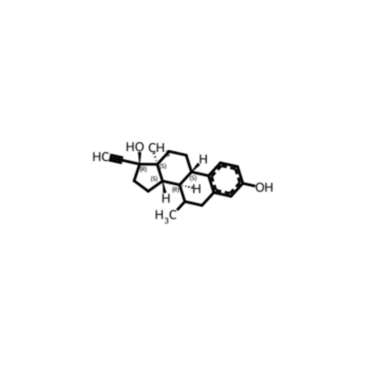 C#C[C@@]1(O)CC[C@H]2[C@@H]3C(C)Cc4cc(O)ccc4[C@H]3CC[C@@]21C